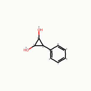 OC1C(O)C1c1ccccc1